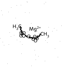 CCCCOP(=O)([O-])OCCOCCOP(=O)([O-])OCCCC.[Mg+2]